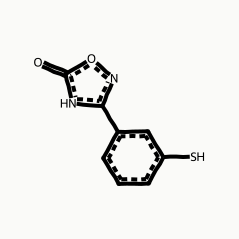 O=c1[nH]c(-c2cccc(S)c2)no1